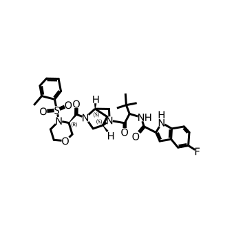 Cc1ccccc1S(=O)(=O)N1CCOC[C@@H]1C(=O)N1C[C@@H]2C[C@H]1CN2C(=O)C(NC(=O)c1cc2cc(F)ccc2[nH]1)C(C)(C)C